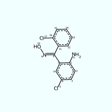 Nc1ccc(Cl)cc1C(=NO)c1ccccc1Cl